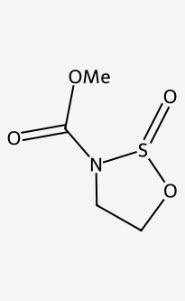 COC(=O)N1CCOS1=O